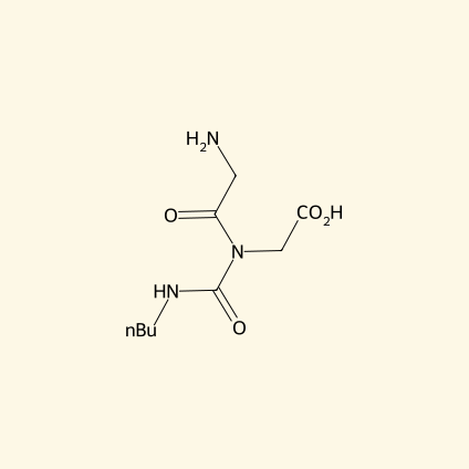 CCCCNC(=O)N(CC(=O)O)C(=O)CN